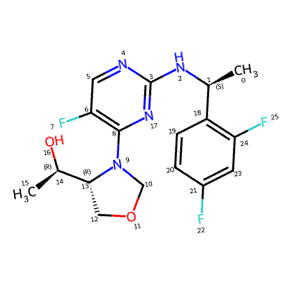 C[C@H](Nc1ncc(F)c(N2COC[C@@H]2[C@@H](C)O)n1)c1ccc(F)cc1F